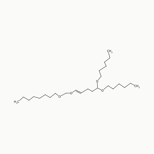 CCCCCCCCOCOC=CCCC(OCCCCCC)OCCCCCC